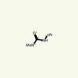 CCCNC(=O)[N]C